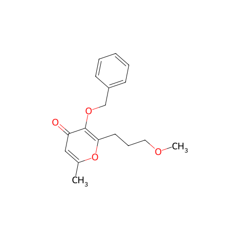 COCCCc1oc(C)cc(=O)c1OCc1ccccc1